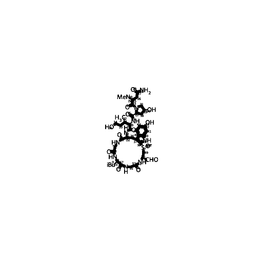 CC[C@H](C)C1NC(=O)CNC(=O)[C@@H](NC(=O)[C@@H](NC(=O)[C@@H]2C[C@@H](O)CN2C(=O)[C@H](CC(N)=O)NC)[C@@H](C)CCO)Cc2c([nH]c3cc(O)ccc23)[S+]([O-])C[C@@H](C=O)NC(=O)CNC1=O